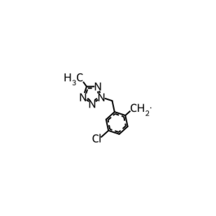 [CH2]c1ccc(Cl)cc1Cn1nnc(C)n1